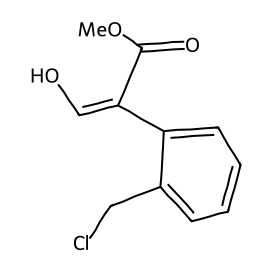 COC(=O)/C(=C\O)c1ccccc1CCl